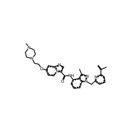 C=C(C)c1cccc(Cn2nc(C)c3c(NC(=O)c4cnc5cc(OCCN6CCN(C)CC6)ccn45)cccc32)n1